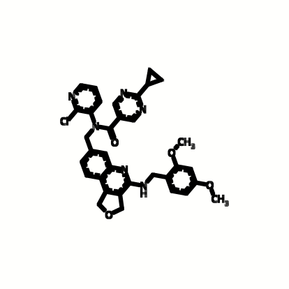 COc1ccc(CNc2nc3cc(CN(C(=O)c4cnc(C5CC5)nc4)c4cccnc4Cl)ccc3c3c2COC3)c(OC)c1